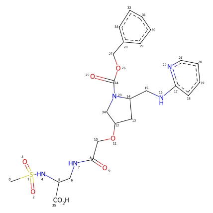 CS(=O)(=O)NC(CNC(=O)COC1CC(CNc2ccccn2)N(C(=O)OCc2ccccc2)C1)C(=O)O